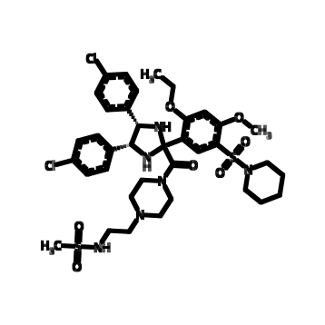 CCOc1cc(OC)c(S(=O)(=O)N2CCCCC2)cc1C1(C(=O)N2CCN(CCNS(C)(=O)=O)CC2)N[C@H](c2ccc(Cl)cc2)[C@H](c2ccc(Cl)cc2)N1